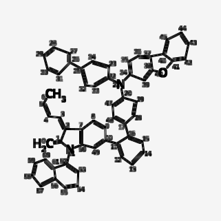 C=c1/c(=C\C=C/C)c2ccc(-c3ccccc3-c3ccc(N(c4ccc(-c5ccccc5)cc4)c4ccc5c(c4)oc4ccccc45)cc3)cc2n1-c1cccc2ccccc12